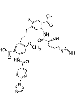 COc1cc(NC(=O)c2ccc(-n3ccnc3)nn2)c(C(=O)O)cc1CCCc1cc(NC(=O)C(=N)/C=C\C=N\N=N)c(C(=O)O)cc1F